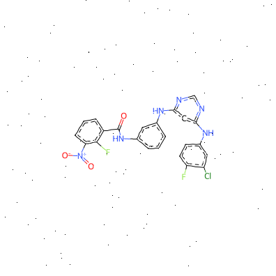 O=C(Nc1cccc(Nc2cc(Nc3ccc(F)c(Cl)c3)ncn2)c1)c1cccc([N+](=O)[O-])c1F